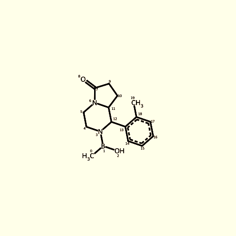 CB(O)N1CCN2C(=O)CCC2C1c1ccccc1C